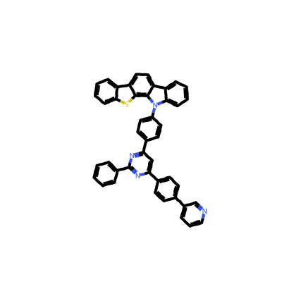 c1ccc(-c2nc(-c3ccc(-c4cccnc4)cc3)cc(-c3ccc(-n4c5ccccc5c5ccc6c7ccccc7sc6c54)cc3)n2)cc1